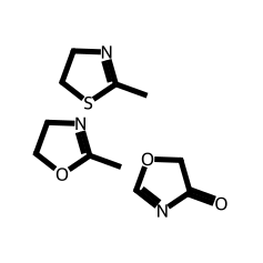 CC1=NCCO1.CC1=NCCS1.O=C1COC=N1